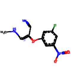 CN/C=C(\C=N)Oc1cc(Cl)cc([N+](=O)[O-])c1